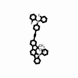 CC1(C)c2cc(C#Cc3ccc(N(c4ccccc4F)c4ccccc4F)cc3)ccc2-c2ccc3c4ccccc4n(-c4ccccc4)c3c21